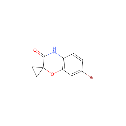 O=C1Nc2ccc(Br)cc2OC12CC2